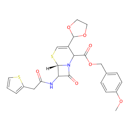 COc1ccc(COC(=O)C2C(C3OCCO3)=CS[C@H]3C(NC(=O)Cc4cccs4)C(=O)N23)cc1